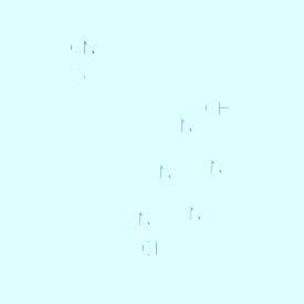 CN(c1ccccc1)c1ncnc(N(C)c2ccc(OC#N)cc2)n1